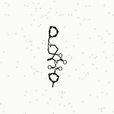 C=C1N(S(=O)(=O)c2ccc(C)cc2)C(=O)OC12CCN(Cc1ccccc1)CC2